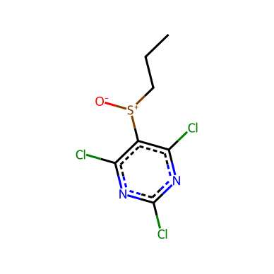 CCC[S+]([O-])c1c(Cl)nc(Cl)nc1Cl